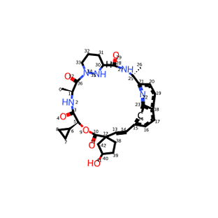 C[C@@H]1NC(=O)[C@H](C2CC2)OC(=O)C2(/C=C/c3ccc4ccc(nc4c3)[C@@H](C)NC(=O)[C@@H]3CCCN(N3)C1=O)CCC(O)C2